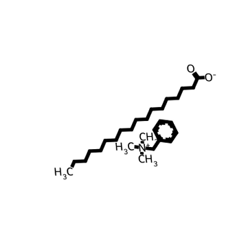 CCCCCCCCCCCCCCCCCC(=O)[O-].C[N+](C)(C)Cc1ccccc1